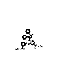 COC(=O)c1cccc(OCC2CN(C(=O)OC(C)(C)C)CCN2C(=O)c2cc(C)n(-c3ccccc3)c2-c2ccccc2)c1